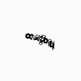 O=C1c2ccc(Oc3ncc(F)cn3)cc2OCCN1CC(O)CN1CCc2ccccc2C1